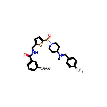 COc1cccc(C(=O)NCc2ccc([S+]([O-])N3CCC(N(C)Cc4ccc(C(F)(F)F)cc4)CC3)s2)c1